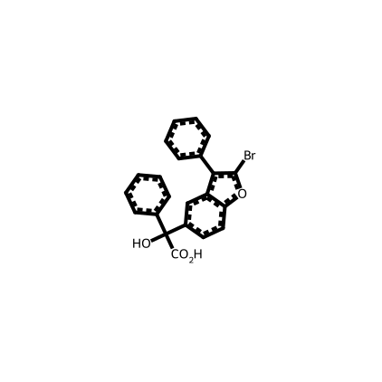 O=C(O)C(O)(c1ccccc1)c1ccc2oc(Br)c(-c3ccccc3)c2c1